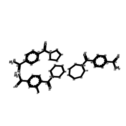 Cc1cc(C(N)=O)ccc1C(=O)N1CCCCC1.NC(=O)c1ccc(C(=O)N2CCCC2)cc1.NC(=O)c1ccc(C(=O)N2CCCCCC2)cc1